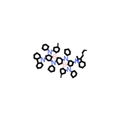 C=c1/c(=C\C=C/C)c2ccccc2n1-c1cc2c3c(c1)N(c1ccccc1)c1cc4c(cc1B3c1ccc(C)cc1N2c1ccccc1)N(c1ccccc1)c1cc(-n2c3ccccc3c3ccccc32)cc2c1B4c1ccc(C)cc1N2c1ccccc1